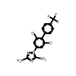 Nc1nc(N)n(-c2cc(Cl)c(-c3ccc(C(F)(F)F)cc3)c(Cl)c2)n1